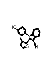 Cc1ccsc1-c1c(C#N)c2ccccc2n1-c1ccc(O)cc1